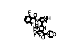 O=C(Nc1c[nH]nc1-c1nc(C(=O)N2CCOCC2)c(C(F)(F)F)[nH]1)c1c(F)cccc1F